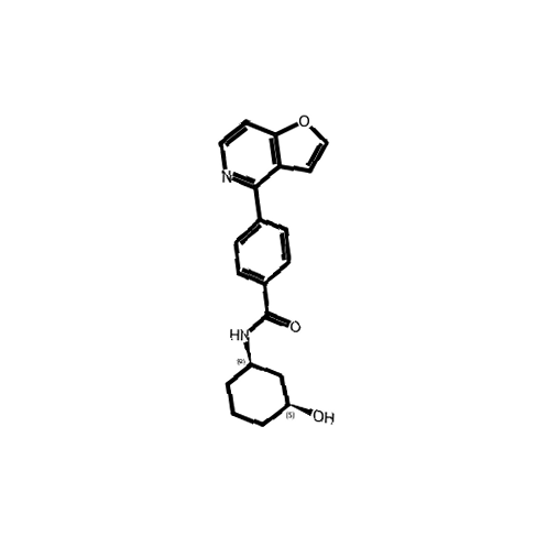 O=C(N[C@@H]1CCC[C@H](O)C1)c1ccc(-c2nccc3occc23)cc1